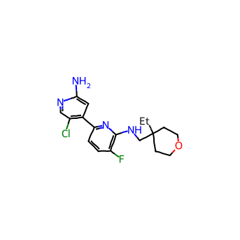 CCC1(CNc2nc(-c3cc(N)ncc3Cl)ccc2F)CCOCC1